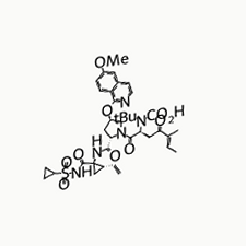 C=C[C@@H]1C[C@]1(NC(=O)[C@@H]1C[C@@H](Oc2nccc3cc(OC)ccc23)CN1C(=O)[C@H](CC(=O)C(C)=CC)N(C(=O)O)C(C)(C)C)C(=O)NS(=O)(=O)C1CC1